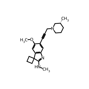 CNC1=Nc2cc(C#CCN3CCC[C@@H](C)C3)c(OC)cc2C12CCC2